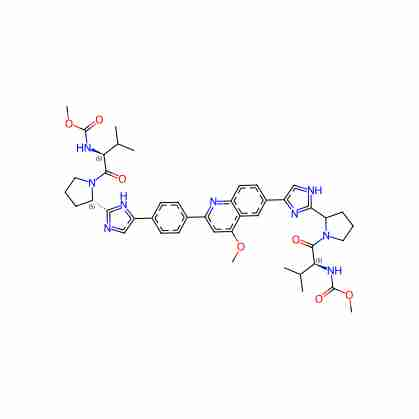 COC(=O)N[C@H](C(=O)N1CCCC1c1nc(-c2ccc3nc(-c4ccc(-c5cnc([C@@H]6CCCN6C(=O)[C@@H](NC(=O)OC)C(C)C)[nH]5)cc4)cc(OC)c3c2)c[nH]1)C(C)C